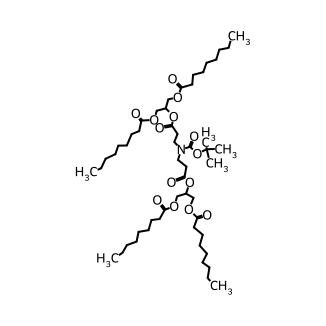 CCCCCCCCC(=O)OCC(COC(=O)CCCCCCCC)OC(=O)CCN(CCC(=O)OC(COC(=O)CCCCCCCC)COC(=O)CCCCCCCC)C(=O)OC(C)(C)C